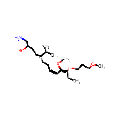 CC/C(OCCCOC)=C(\C=C/CC[C@@H](CCC(O)CN)C(C)C)OC